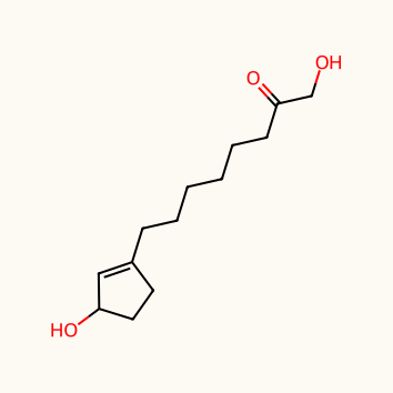 O=C(CO)CCCCCCC1=CC(O)CC1